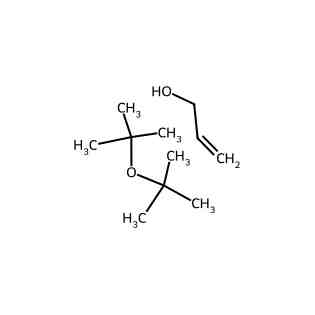 C=CCO.CC(C)(C)OC(C)(C)C